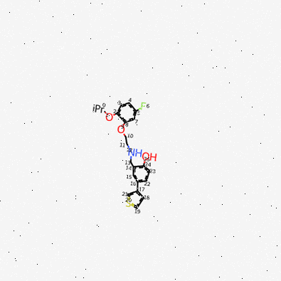 CC(C)Oc1ccc(F)cc1OCCNCc1cc(-c2ccsc2)ccc1O